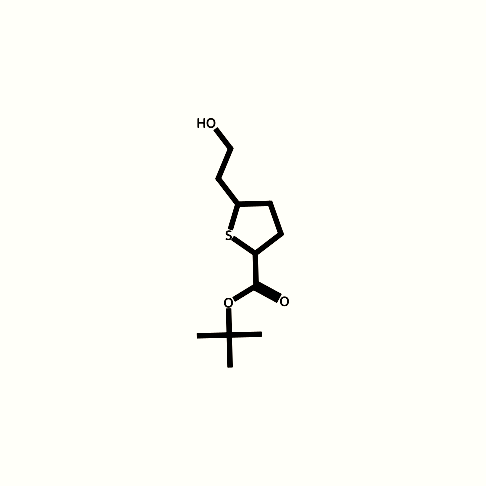 CC(C)(C)OC(=O)C1CCC(CCO)S1